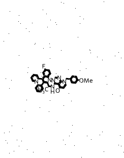 COc1ccc(Cn2ccc(=O)c3c(N[C@@H](C)c4nc5ccc(F)cc5c(-c5ccccn5)c4-c4ccccc4)ncnc32)cc1